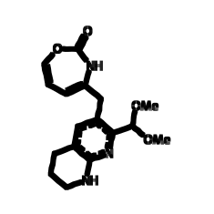 COC(OC)c1nc2c(cc1CC1=CC=COC(=O)N1)CCCN2